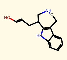 OC=CCC1CNCCc2c1[nH]c1ccccc21